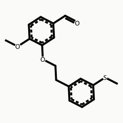 COc1ccc(C=O)cc1OCCc1cccc(SC)c1